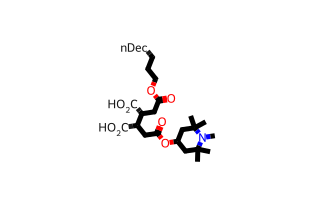 CCCCCCCCCCCCCOC(=O)CC(C(=O)O)C(CC(=O)OC1CC(C)(C)N(C)C(C)(C)C1)C(=O)O